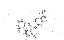 Cc1cc(OCc2c(C(C)C)nnn2-c2c(Cl)cccc2Cl)ccc1C(C)(C)O